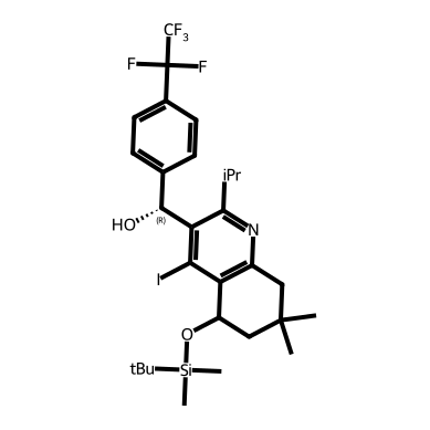 CC(C)c1nc2c(c(I)c1[C@H](O)c1ccc(C(F)(F)C(F)(F)F)cc1)C(O[Si](C)(C)C(C)(C)C)CC(C)(C)C2